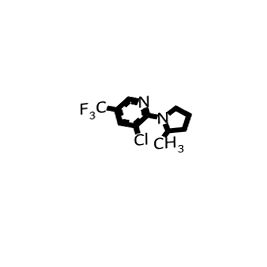 CC1CCCN1c1ncc(C(F)(F)F)cc1Cl